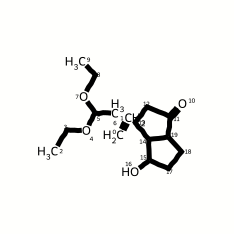 C=C.CCOC(C)OCC.O=C1CCC2C(O)CCC12